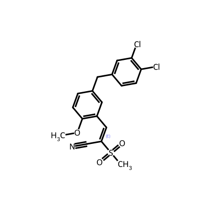 COc1ccc(Cc2ccc(Cl)c(Cl)c2)cc1/C=C(\C#N)S(C)(=O)=O